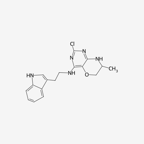 CC1COc2c(NCCc3c[nH]c4ccccc34)nc(Cl)nc2N1